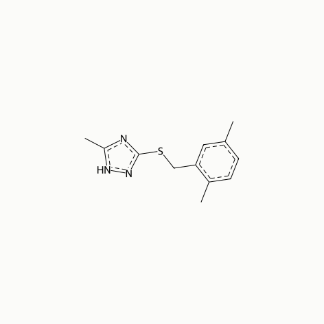 Cc1ccc(C)c(CSc2n[nH]c(C)n2)c1